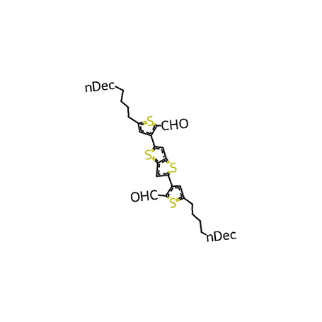 CCCCCCCCCCCCCCc1cc(-c2cc3sc(-c4cc(CCCCCCCCCCCCCC)sc4C=O)cc3s2)c(C=O)s1